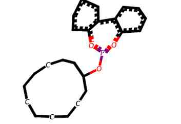 c1ccc2c(c1)op(OC1CCCCCCCCCCC1)oc1ccccc12